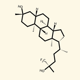 C[C@H](CC[C@@](C)(O)C(F)(F)F)[C@H]1CC[C@H]2[C@@H]3CC[C@H]4C[C@@](C)(O)CC[C@]4(C)[C@H]3CC[C@]12C